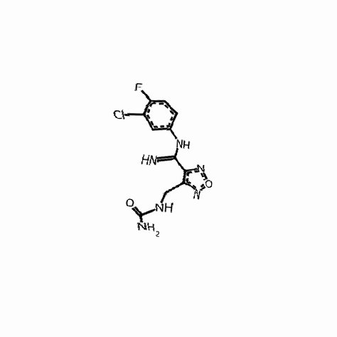 N=C(Nc1ccc(F)c(Cl)c1)c1nonc1CNC(N)=O